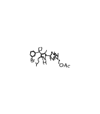 CC(=O)OCCn1nnc(-c2[nH]c(CCI)c(C(=O)c3cccc(Br)c3)c2C)n1